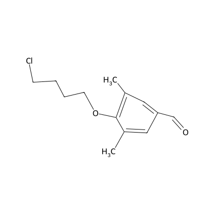 Cc1cc(C=O)cc(C)c1OCCCCCl